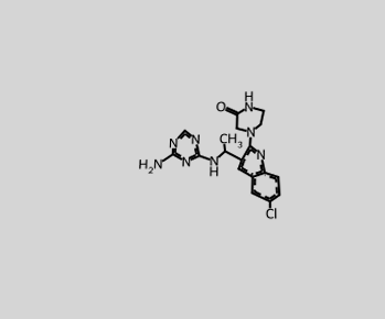 CC(Nc1ncnc(N)n1)c1cc2cc(Cl)ccc2nc1N1CCNC(=O)C1